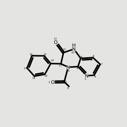 CC(=O)N1c2ncccc2NC(=O)C1c1ccccc1